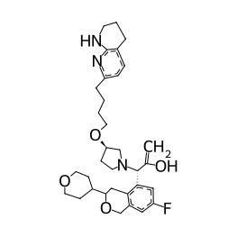 C=C(O)[C@H](c1cc(F)cc2c1CC(C1CCOCC1)OC2)N1CC[C@@H](OCCCCc2ccc3c(n2)NCCC3)C1